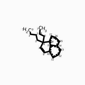 [CH2]CCCC1(CCC)C=Cc2cccc3cccc1c23